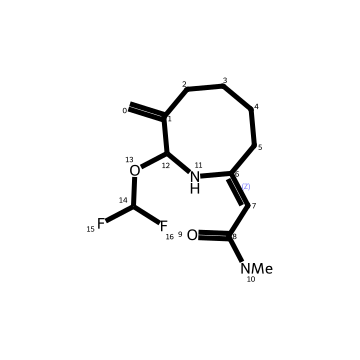 C=C1CCCC/C(=C/C(=O)NC)NC1OC(F)F